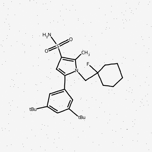 Cc1c(S(N)(=O)=O)cc(-c2cc(C(C)(C)C)cc(C(C)(C)C)c2)n1CC1(F)CCCCC1